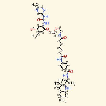 Cc1cnc(NC(=O)Nc2cc(Br)c(C)cc2OC[C@@H]2CN(C(=O)CCCCCC(=O)Nc3ccc(C(=O)NCC(C)(C)C4Nc5ccc([N+](=O)[O-])cc5C5CCCC54)cc3)CCO2)cn1